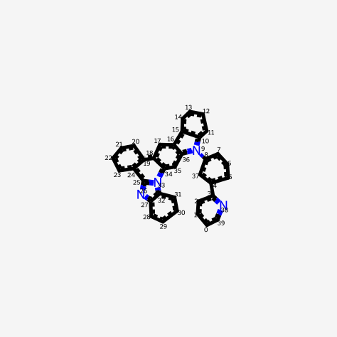 c1ccc(-c2cccc(-n3c4ccccc4c4cc5c6ccccc6c6nc7ccccc7n6c5cc43)c2)nc1